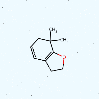 CC1(C)CC=CC2=C1OCC2